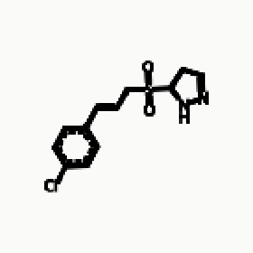 O=S(=O)(CC=Cc1ccc(Cl)cc1)C1CC=NN1